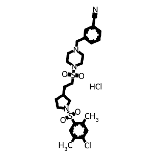 Cc1cc(S(=O)(=O)N2CCC(CCS(=O)(=O)N3CCN(Cc4cccc(C#N)c4)CC3)C2)c(C)cc1Cl.Cl